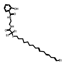 CCC=CCC=CCC=CCCCCCCCCSC(CC)(CC)C(=O)NCCNC(=O)c1ccccc1O